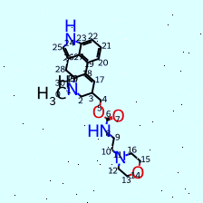 CN1CC(COC(=O)NCCN2CCOCC2)C=C2c3cccc4[nH]cc(c34)C[C@@H]21